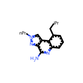 CCCn1cc2c(n1)c(N)nc1cccc(CC(C)C)c12